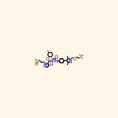 Cc1nn(COCCS(C)(C)C)c(C)c1-c1ccc(NC(=O)C(NC(=O)c2ccnn2CCC[S+](C)[O-])[C@H]2CC[C@H](C)CC2)cc1